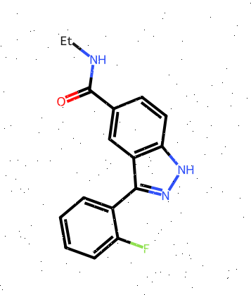 CCNC(=O)c1ccc2[nH]nc(-c3ccccc3F)c2c1